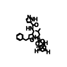 CC(C)C[C@@H](B1O[C@@H]2C[C@@H]3C[C@@H](C3(C)C)[C@]2(C)O1)N1OC(Cc2ccccc2)CC1CNC(=O)c1ccn[nH]1